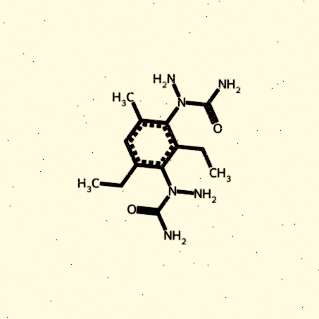 CCc1cc(C)c(N(N)C(N)=O)c(CC)c1N(N)C(N)=O